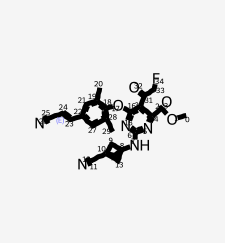 COC(=O)c1nc(NC23CC(C#N)(C2)C3)nc(Oc2c(C)cc(/C=C/C#N)cc2C)c1C(=O)CF